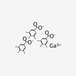 Cc1cc(C(=O)[O-])cc(C)c1C.Cc1cc(C(=O)[O-])cc(C)c1C.Cc1cc(C(=O)[O-])cc(C)c1C.[Ga+3]